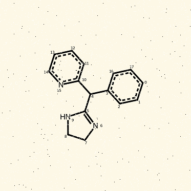 c1ccc(C(C2=NCCN2)c2ccccn2)cc1